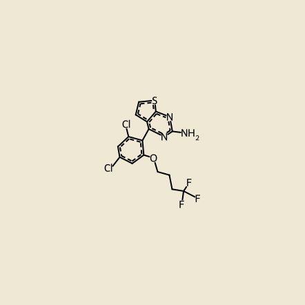 Nc1nc(-c2c(Cl)cc(Cl)cc2OCCCC(F)(F)F)c2ccsc2n1